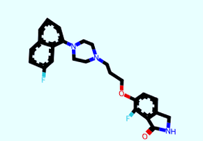 O=C1NCc2ccc(OCCCN3CCN(c4cccc5ccc(F)cc45)CC3)c(F)c21